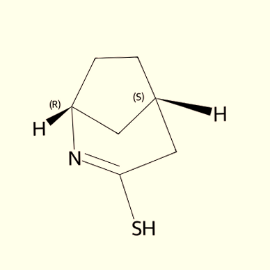 SC1=N[C@@H]2CC[C@H](C1)C2